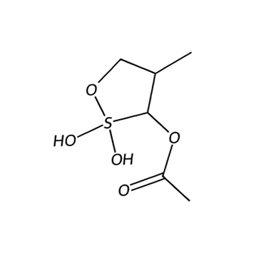 CC(=O)OC1C(C)COS1(O)O